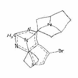 CN(C1CCC1)C1CC2CCC(C1)N2c1ncnc2scc(Br)c12